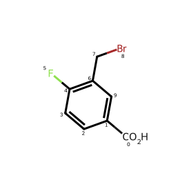 O=C(O)c1ccc(F)c(CBr)c1